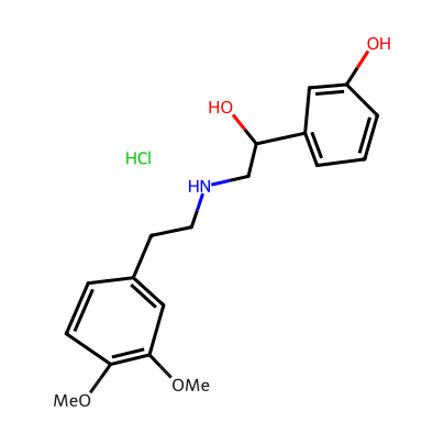 COc1ccc(CCNCC(O)c2cccc(O)c2)cc1OC.Cl